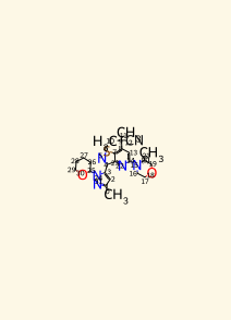 Cc1cc(-c2nsc3c(C(C)(C)C#N)cc(N4CCOC[C@@H]4C)nc23)n(C2CCCCO2)n1